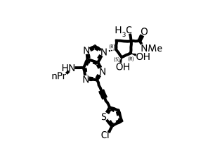 CCCNc1nc(C#Cc2ccc(Cl)s2)nc2c1ncn2[C@@H]1CC(C)(C(=O)NC)[C@@H](O)[C@H]1O